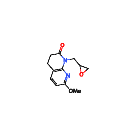 COc1ccc2c(n1)N(CC1CO1)C(=O)CC2